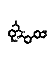 COc1cccc(C(CN(C)C)NC(=O)c2cccc(-c3ccc4[nH]ncc4c3)c2)c1